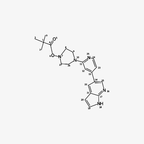 CC(C)(C)C(=O)ON1CCN(c2cc(-c3cnc4[nH]ccc4c3)ccn2)CC1